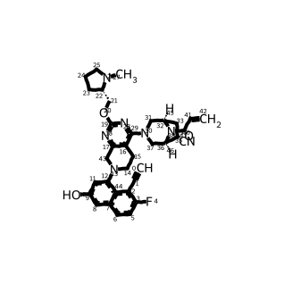 C#Cc1c(F)ccc2cc(O)cc(N3CCc4c(nc(OC[C@@H]5CCCN5C)nc4N4C[C@H]5CC(C#N)[C@@H](C4)N5C(=O)C=C)C3)c12